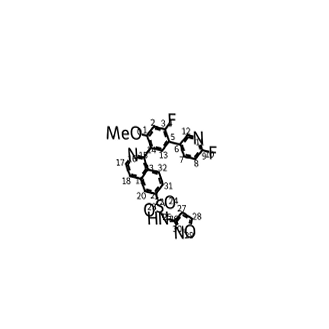 COc1cc(F)c(-c2ccc(F)nc2)cc1-c1nccc2cc(S(=O)(=O)Nc3ccon3)ccc12